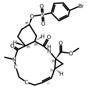 COC(=O)[C@@]12C[C@H]1/C=C\CCCCN(C)C(=O)[C@@H]1CC[C@@H](OS(=O)(=O)c3ccc(Br)cc3)C[C@H]1C(=O)N2